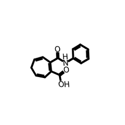 O=C(O)C1=C(C(=O)Nc2ccccc2)C=CCC=C1